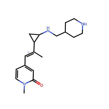 C/C(=C\c1ccn(C)c(=O)c1)C1CC1NCC1CCNCC1